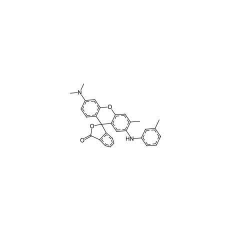 Cc1cccc(Nc2cc3c(cc2C)Oc2cc(N(C)C)ccc2C32OC(=O)c3ccccc32)c1